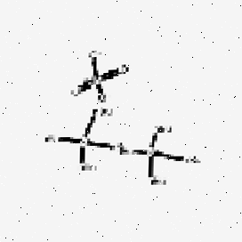 CCCC[N+](CCCC)(CCCC)CCCC.CCCC[N+](CCCC)(CCCC)CCCC.[O]=[Mn](=[O])([O-])[O-]